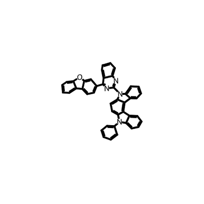 c1ccc(-n2c3ccccc3c3c4c5ccccc5n(-c5nc(-c6ccc7c(c6)oc6ccccc67)c6ccccc6n5)c4ccc32)cc1